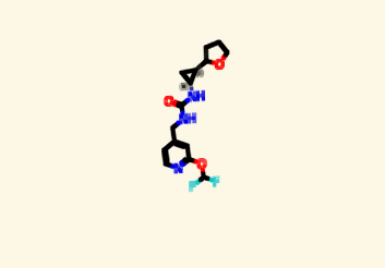 O=C(NCc1ccnc(OC(F)F)c1)N[C@@H]1C[C@H]1C1CCCO1